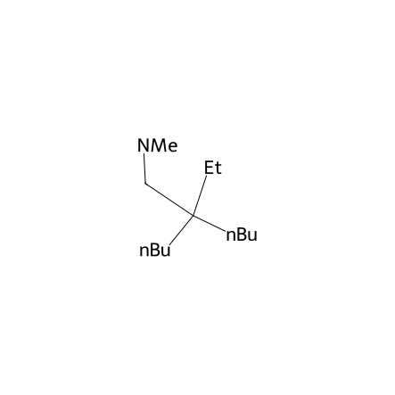 CCCCC(CC)(CCCC)CNC